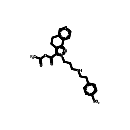 O=C(OC(=O)C(F)(F)F)c1c2c(nn1CCCNCCc1ccc([N+](=O)[O-])cc1)-c1ccncc1CC2